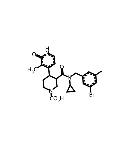 Cc1c(C2CCN(C(=O)O)CC2C(=O)N(Cc2cc(Br)cc(I)c2)C2CC2)cc[nH]c1=O